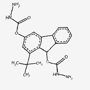 CC(C)(C)c1cc(OC(=O)NN)cc2c1C(OC(=O)NN)c1ccccc1-2